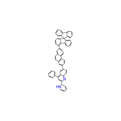 C1=CNC(c2cc(-c3ccccc3)c3cc(-c4ccc5c(ccc6cc(-c7cccc8c7-c7ccccc7C87c8ccccc8-c8ccccc87)ccc65)c4)ccc3n2)C=C1